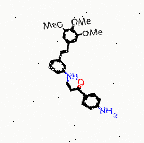 COc1cc(/C=C/c2cccc(N/C=C\C(=O)c3ccc(N)cc3)c2)cc(OC)c1OC